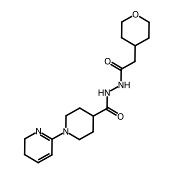 O=C(CC1CCOCC1)NNC(=O)C1CCN(C2=NCCC=C2)CC1